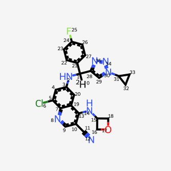 [2H]C(Nc1cc(Cl)c2ncc(C#N)c(NC3COC3)c2c1)(c1ccc(F)cc1)c1cn(C2CC2)nn1